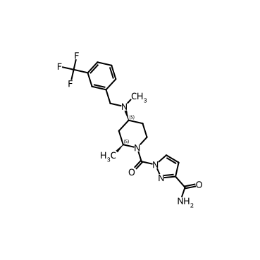 C[C@H]1C[C@@H](N(C)Cc2cccc(C(F)(F)F)c2)CCN1C(=O)n1ccc(C(N)=O)n1